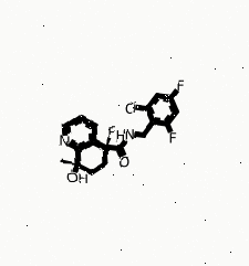 C[C@]1(O)CC[C@@](F)(C(=O)NCc2c(F)cc(F)cc2Cl)c2cccnc21